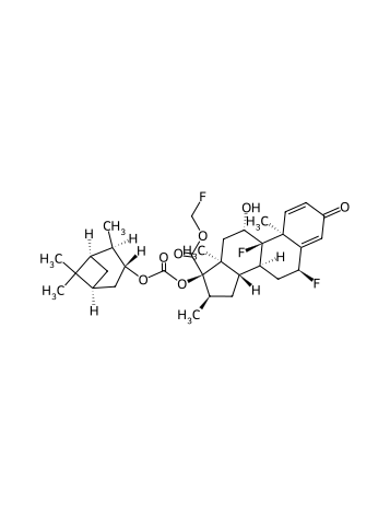 C[C@@H]1[C@H]2C[C@@H](C[C@H]1OC(=O)O[C@]1(C(=O)OCF)[C@H](C)C[C@H]3[C@@H]4C[C@H](F)C5=CC(=O)C=C[C@]5(C)[C@@]4(F)[C@@H](O)C[C@@]31C)C2(C)C